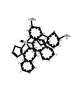 [CH2]=[Zr]([C]1=CC=CC1)([c]1ccc2ccccc2c1)([c]1ccc2ccccc2c1)[c]1cc(C(C)(C)C)cc2c1Cc1ccc(C(C)(C)C)cc1-2